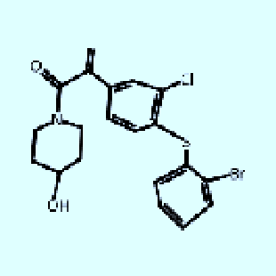 C=C(C(=O)N1CCC(O)CC1)c1ccc(Sc2ccccc2Br)c(Cl)c1